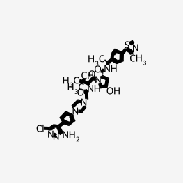 Cc1ncsc1-c1ccc([C@H](C)NC(=O)[C@@H]2C[C@@H](O)CN2C(=O)[C@@H](NC(=O)CN2CCN(c3ccc(-c4cc(Cl)nnc4N)cc3)CC2)C(C)(C)C)cc1